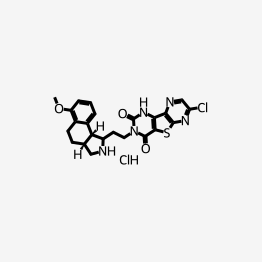 COc1cccc2c1CC[C@H]1CNC(CCn3c(=O)[nH]c4c(sc5nc(Cl)cnc54)c3=O)[C@@H]21.Cl